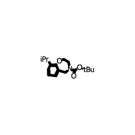 CC(C)c1cccc2c1OCCN(C(=O)OC(C)(C)C)C2